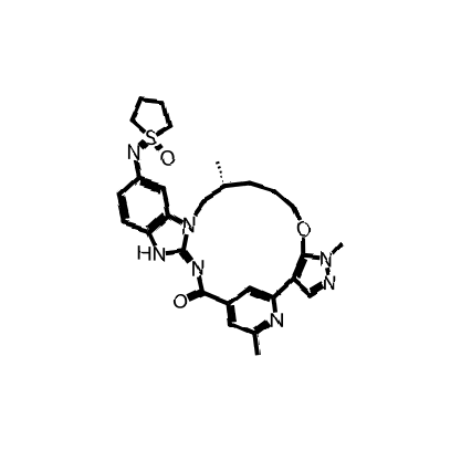 Cc1cc2cc(n1)-c1cnn(C)c1OCCC[C@@H](C)CN1/C(=N/C2=O)Nc2ccc(N=S3(=O)CCCC3)cc21